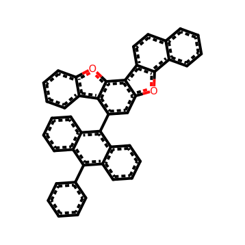 c1ccc(-c2c3ccccc3c(-c3cc4oc5c6ccccc6ccc5c4c4oc5ccccc5c34)c3ccccc23)cc1